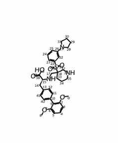 COc1cccc(OC)c1-c1ccc(C[C@H](NCC2(S(=O)(=O)c3cccc(N4CCCC4)c3)CCCNC2)C(=O)O)cc1